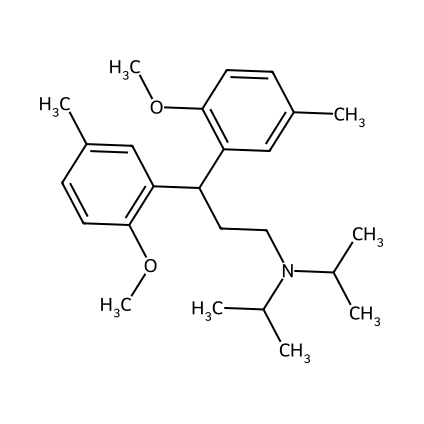 COc1ccc(C)cc1C(CCN(C(C)C)C(C)C)c1cc(C)ccc1OC